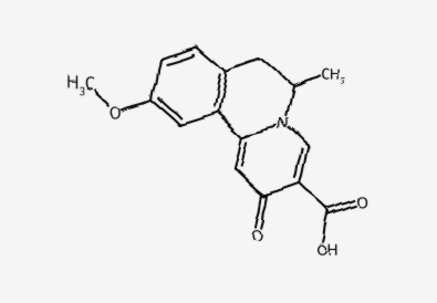 COc1ccc2c(c1)-c1cc(=O)c(C(=O)O)cn1C(C)C2